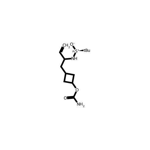 C=CC(CC1CC(OC(N)=O)C1)N[S@@+]([O-])C(C)(C)C